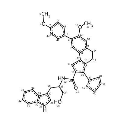 COc1ccc(-c2cc3c(cc2OC)CCn2c-3cc(C(=O)N[C@@H](CO)Cc3c[nH]c4ccccc34)c2-c2cccs2)cn1